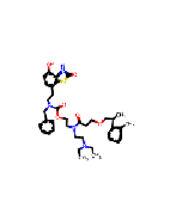 CCN(CC)CCN(CCOC(=O)N(CCc1ccc(O)c2[nH]c(=O)sc12)Cc1ccccc1)C(=O)CCOCC(C)c1ccccc1C